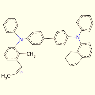 C/C=C\c1cccc(N(c2ccccc2)c2ccc(-c3ccc(N(c4ccccc4)c4cccc5c4CCC=C5)cc3)cc2)c1C